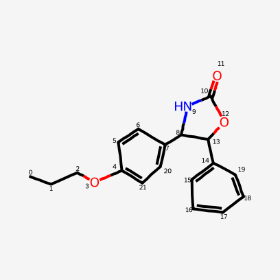 CCCOc1ccc(C2NC(=O)OC2c2ccccc2)cc1